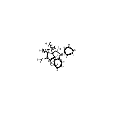 CC1=C(C)[C](C[SiH](c2ccccc2)c2ccccc2)([Ti]([CH3])([CH3])[CH3])C(C)=C1C